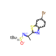 C/C(=N\[S@+]([O-])C(C)(C)C)c1nc2ccc(Br)cc2s1